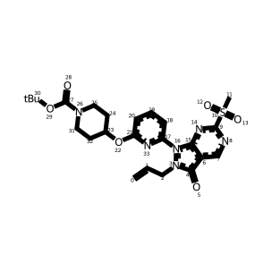 C=CCn1c(=O)c2cnc(S(C)(=O)=O)nc2n1-c1cccc(OC2CCN(C(=O)OC(C)(C)C)CC2)n1